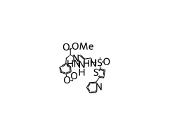 COC(=O)[C@H](Cc1ccc2c(c1)OCO2)N1C=C(CN[SH](C)(=O)c2ccc(-c3ccccn3)s2)NN1